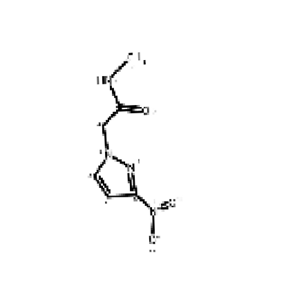 CNC(=O)Cn1ccc([N+](=O)[O-])n1